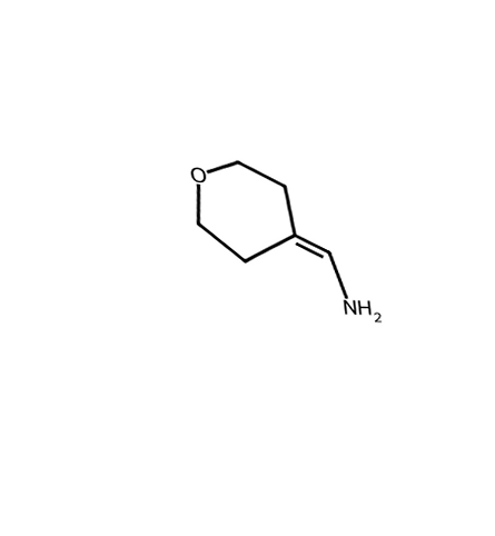 NC=C1CCOCC1